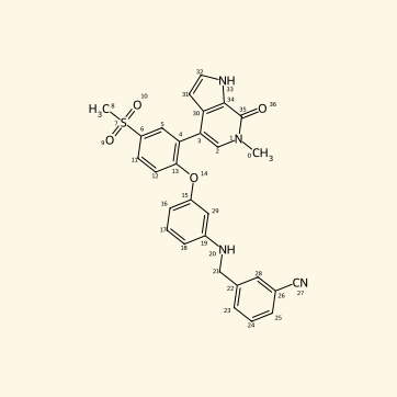 Cn1cc(-c2cc(S(C)(=O)=O)ccc2Oc2cccc(NCc3cccc(C#N)c3)c2)c2cc[nH]c2c1=O